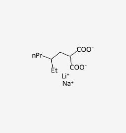 CCCC(CC)CC(C(=O)[O-])C(=O)[O-].[Li+].[Na+]